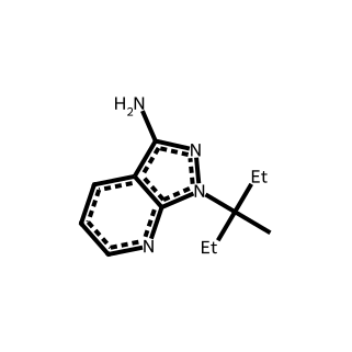 CCC(C)(CC)n1nc(N)c2cccnc21